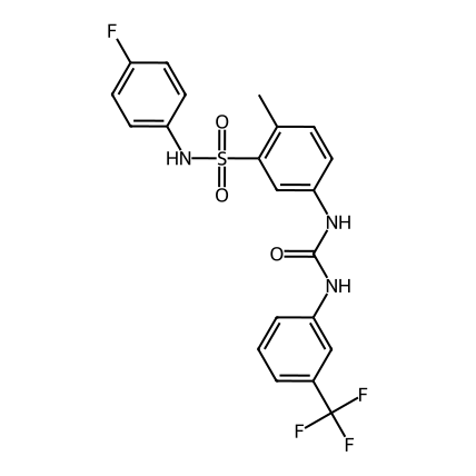 Cc1ccc(NC(=O)Nc2cccc(C(F)(F)F)c2)cc1S(=O)(=O)Nc1ccc(F)cc1